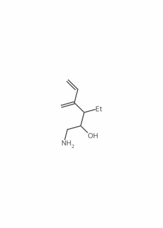 C=CC(=C)C(CC)C(O)CN